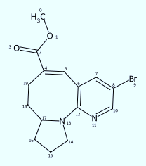 COC(=O)/C1=C/c2cc(Br)cnc2N2CCCC2CC1